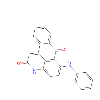 O=C1c2ccccc2-c2cc(=O)[nH]c3ccc(Nc4ccccc4)c1c23